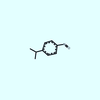 CC(C)c1ccc(N=O)cc1